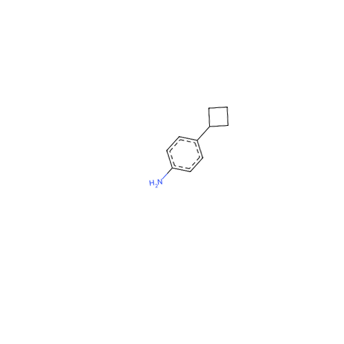 Nc1ccc(C2CCC2)cc1